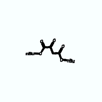 CCCCOC(=O)CC(=O)C(=O)OCCCC